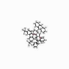 CCCC1=Cc2c(-c3c4ccccc4cc4ccccc34)cccc2[CH]1[Zr]([c]1cc(C(C)(C)C)cc2c1Cc1ccc(C(C)(C)C)cc1-2)[SiH](c1ccccc1)c1ccccc1